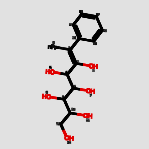 CCCC(=C(O)C(O)C(O)C(O)C(O)CO)c1ccccc1